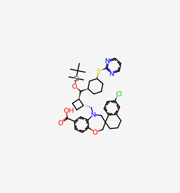 CC(C)(C)[Si](C)(C)OC([C@@H]1CCC[C@H](Sc2ncccn2)C1)[C@@H]1CC[C@H]1CN1CC2(CCCc3cc(Cl)ccc32)COc2ccc(C(=O)O)cc21